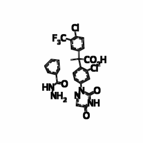 CC(C(=O)O)(c1ccc(Cl)c(C(F)(F)F)c1)c1ccc(-n2ncc(=O)[nH]c2=O)cc1Cl.NNC(=O)c1ccccc1